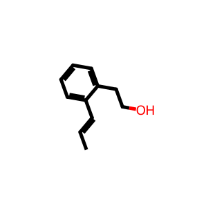 C/C=C/c1ccccc1CCO